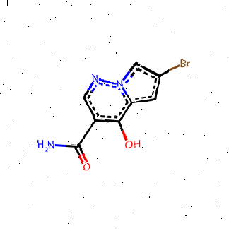 NC(=O)c1cnn2cc(Br)cc2c1O